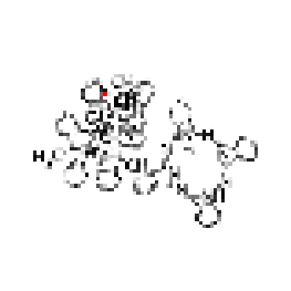 CC(C)(c1ccccc1)c1ccccc1[O][Zn]([O]c1ccccc1C(C)(C)c1ccccc1)([O]c1ccccc1C(C)(C)c1ccccc1)[O]c1ccccc1C(C)(C)c1ccccc1.c1ccc2c(c1)-c1nc-2nc2[nH]c(nc3nc(nc4[nH]c(n1)c1ccccc41)-c1ccccc1-3)c1ccccc21